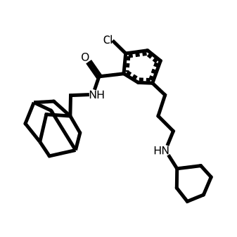 O=C(NCC12CC3CC(CC(C3)C1)C2)c1cc(CCCNC2CCCCC2)ccc1Cl